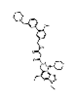 CCc1nc2c(cnn2CC)c(NC2CCOCC2)c1CNC(=O)CC(=O)NCc1ccc(OC)c(-c2cccc(CN3CCCCC3)c2)c1